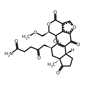 COC[C@H]1OC(=O)c2coc3c2[C@@]1(C)C1=C(C3=O)[C@@H]2CCC(=O)[C@@]2(C)C[C@H]1CC(=O)CCC(N)=O